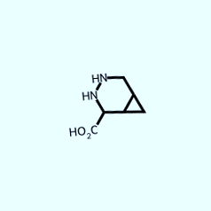 O=C(O)C1NNCC2CC21